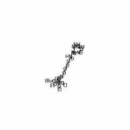 CCOc1cc(C(C)(C)C)ccc1C1=N[C@]2(c3ccc(Cl)cc3)c3cc(Cl)ccc3[C@@]2(C)N1C(=O)N1CCN(CCOCCOCCOCCOCCC(=O)NCCn2nc3c(c2C)-c2cnc(N)c(c2)N2CCC[C@@H]2c2cc(F)ccc2C(=O)N(C)C3)CC1